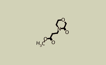 COC(=O)CCN1CCOCC1=O